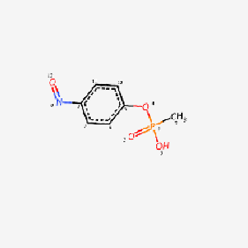 CP(=O)(O)Oc1ccc(N=O)cc1